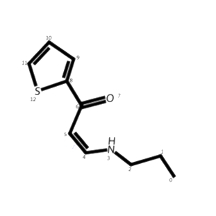 CCCN/C=C\C(=O)c1cccs1